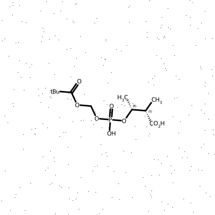 C[C@H](C(=O)O)[C@@H](C)OP(=O)(O)OCOC(=O)C(C)(C)C